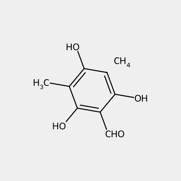 C.Cc1c(O)cc(O)c(C=O)c1O